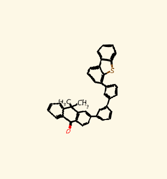 CC1(C)c2ccccc2C(=O)c2ccc(-c3cccc(-c4cccc(-c5cccc6c5sc5ccccc56)c4)c3)cc21